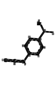 CC(Br)c1ccc(N=C=O)cc1